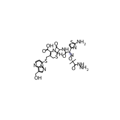 CC(C)(O/N=C(\C(=O)NC1C(=O)N2C(C(=O)O)=C(CSc3ccnc4c(CO)cnn34)CS[C@H]12)c1csc(N)n1)C(=O)NN